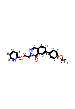 O=c1c2cc(-c3ccc(OC(F)(F)F)cc3)ccc2cnn1CCOc1ccccn1